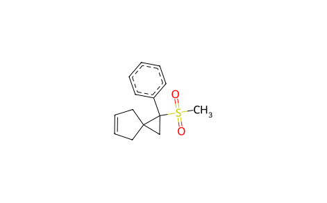 CS(=O)(=O)C1(c2ccccc2)CC12CC=CC2